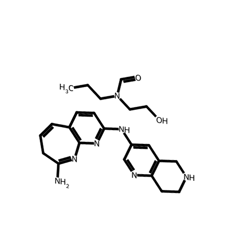 CCCN(C=O)CCO.NC1=Nc2nc(Nc3cnc4c(c3)CNCC4)ccc2C=CC1